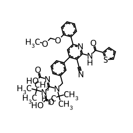 COCOc1ccccc1-c1cc(-c2cccc(CN(C(=NC(=O)O)N(C(=O)O)C(C)(C)C)C(C)(C)C)c2)c(C#N)c(NC(=O)c2cccs2)n1